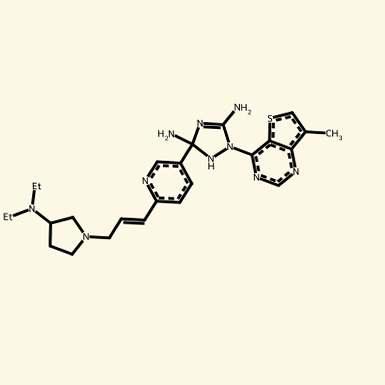 CCN(CC)C1CCN(CC=Cc2ccc(C3(N)N=C(N)N(c4ncnc5c(C)csc45)N3)cn2)C1